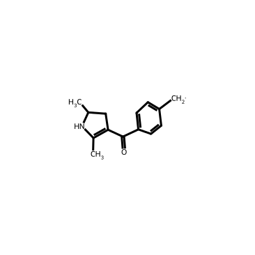 [CH2]c1ccc(C(=O)C2=C(C)NC(C)C2)cc1